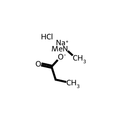 CCC(=O)[O-].CNC.Cl.[Na+]